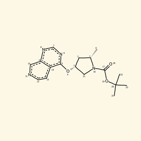 C[C@H]1C[C@@H](Oc2ncnc3cnccc23)CN1C(=O)OC(C)(C)C